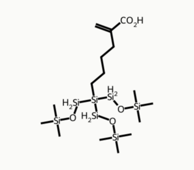 C=C(CCCC[Si]([SiH2]O[Si](C)(C)C)([SiH2]O[Si](C)(C)C)[SiH2]O[Si](C)(C)C)C(=O)O